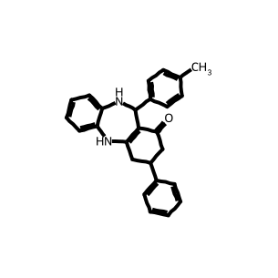 Cc1ccc(C2Nc3ccccc3NC3=C2C(=O)CC(c2ccccc2)C3)cc1